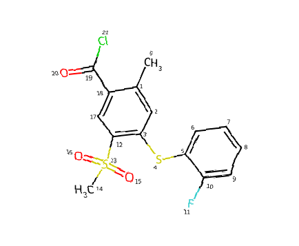 Cc1cc(Sc2ccccc2F)c(S(C)(=O)=O)cc1C(=O)Cl